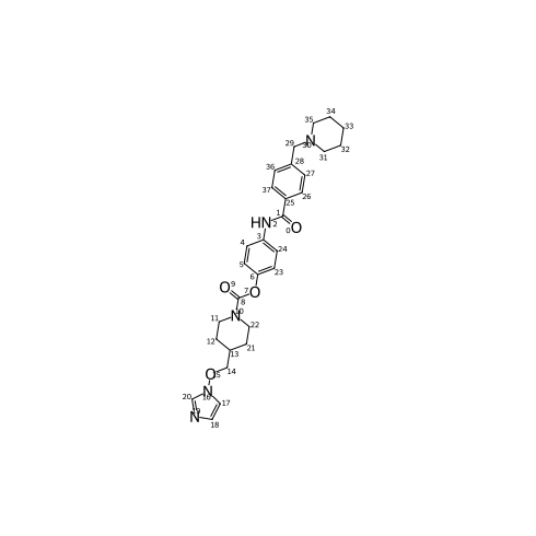 O=C(Nc1ccc(OC(=O)N2CCC(COn3ccnc3)CC2)cc1)c1ccc(CN2CCCCC2)cc1